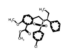 CC[C@@H](c1ccccc1)N(Cc1ccc(OC)c(C(=O)OC)c1)S(=O)(=O)c1ccc(Cl)cc1